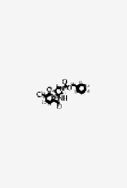 O=C1NC2(CCN(C(=O)OCc3ccccc3)C2)n2c1ccc(Cl)c2=O